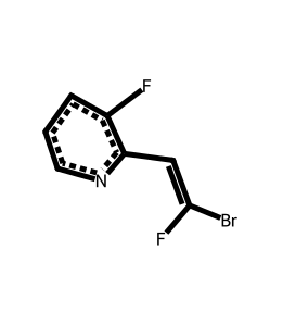 F/C(Br)=C\c1ncccc1F